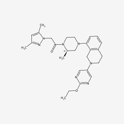 CCOc1ncc(N2CCc3cccc(N4CCN(C(=O)Cn5nc(C)cc5C)[C@H](C)C4)c3C2)cn1